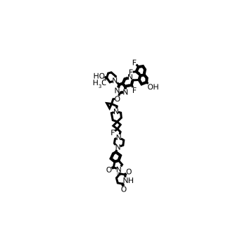 C[C@@]1(O)CCCN(c2nc(OCC3(CN4CCC5(CC4)CC(F)(CN4CCN(c6ccc7c(c6)CN([C@H]6CCC(=O)NC6=O)C7=O)CC4)C5)CC3)nc3c(F)c(-c4cc(O)cc5ccc(F)c(F)c45)ncc23)C1